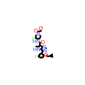 COCC(=O)N1CC[C@@H](NC(=O)c2c(C)[nH]c3c(-c4cc(F)ccc4OCC4CC4)ncnc23)[C@H](F)C1